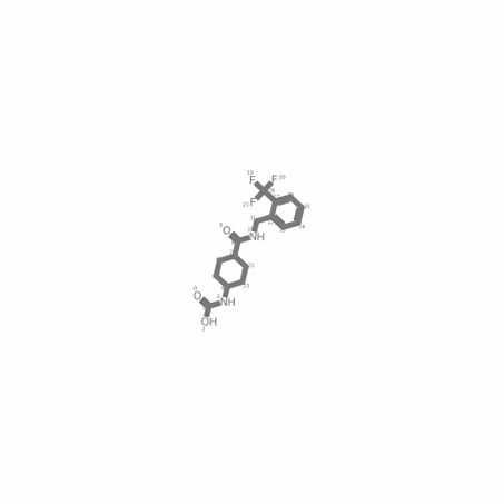 O=C(O)NC1CCC(C(=O)NCc2ccccc2C(F)(F)F)CC1